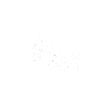 c1ccc(-c2ccccc2-n2c3ccccc3c3ccc(N(c4ccccc4)c4ccc5c(c4)C(c4ccccc4)(c4ccccc4)c4ccccc4-5)cc32)cc1